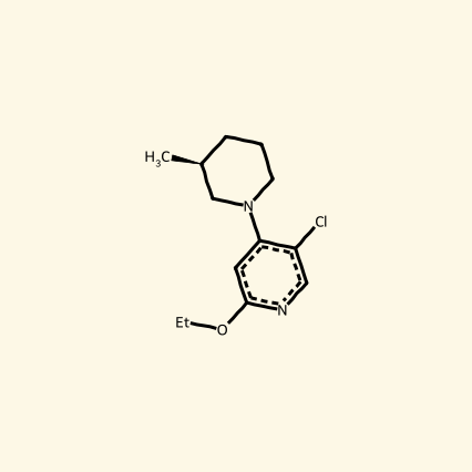 CCOc1cc(N2CCC[C@H](C)C2)c(Cl)cn1